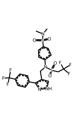 CN(C)S(=O)(=O)c1ccc(N(Cc2c[nH]nc2-c2ccc(C(F)(F)F)cc2)S(=O)(=O)CC(F)(F)F)cc1